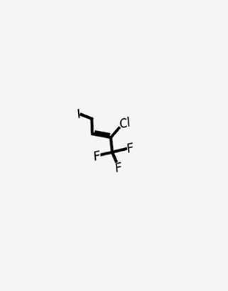 FC(F)(F)C(Cl)=CCI